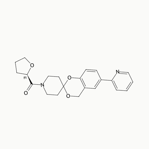 O=C([C@H]1CCCO1)N1CCC2(CC1)OCc1cc(-c3ccccn3)ccc1O2